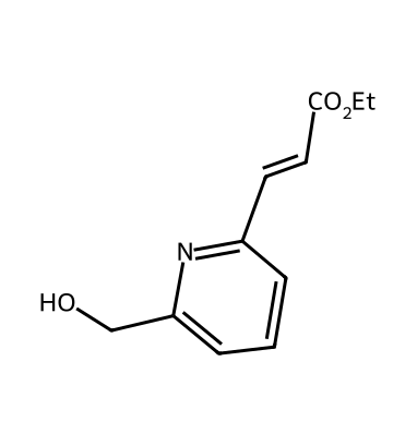 CCOC(=O)C=Cc1cccc(CO)n1